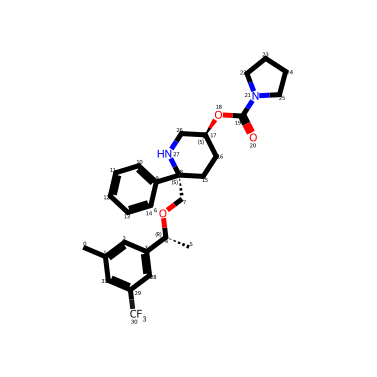 Cc1cc([C@@H](C)OC[C@@]2(c3ccccc3)CC[C@H](OC(=O)N3CCCC3)CN2)cc(C(F)(F)F)c1